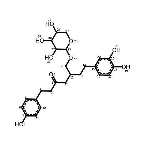 O=C(CCc1ccc(O)cc1)CC(CCc1ccc(O)c(O)c1)COC1OCC(O)C(O)C1O